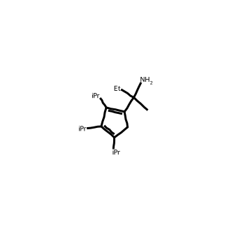 CCC(C)(N)C1=C(C(C)C)C(C(C)C)=C(C(C)C)C1